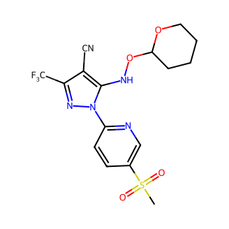 CS(=O)(=O)c1ccc(-n2nc(C(F)(F)F)c(C#N)c2NOC2CCCCO2)nc1